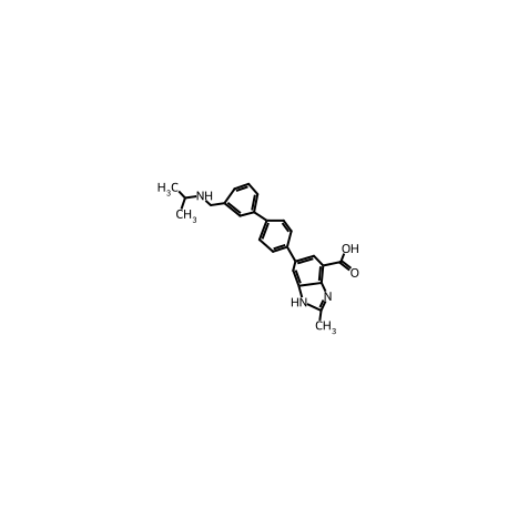 Cc1nc2c(C(=O)O)cc(-c3ccc(-c4cccc(CNC(C)C)c4)cc3)cc2[nH]1